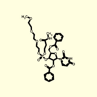 CNC(=O)CCOP(=O)(OCCOCCOCCOC)O[C@@H]1C(OC(=O)c2ccccc2)[C@H](n2ccc(=O)[nH]c2=O)O[C@@H]1COC(=O)c1ccccc1